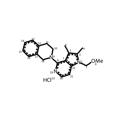 COCn1c(C)c(C)c2c(N3CCc4ccccc4C3)nccc21.Cl